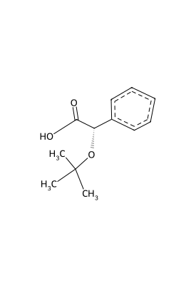 CC(C)(C)O[C@H](C(=O)O)c1ccccc1